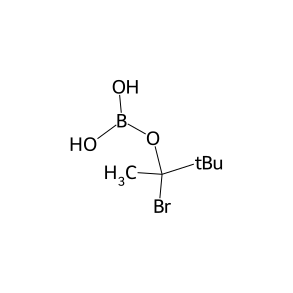 CC(C)(C)C(C)(Br)OB(O)O